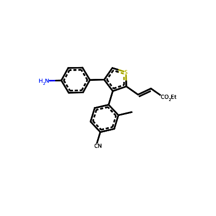 CCOC(=O)C=Cc1scc(-c2ccc(N)cc2)c1-c1ccc(C#N)cc1C